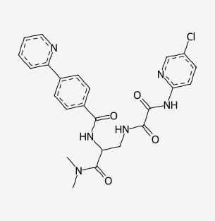 CN(C)C(=O)C(CNC(=O)C(=O)Nc1ccc(Cl)cn1)NC(=O)c1ccc(-c2ccccn2)cc1